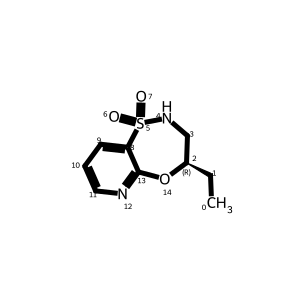 CC[C@@H]1CNS(=O)(=O)c2cccnc2O1